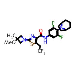 COC1(C)CN(c2nc(C(=O)Nc3cc(F)c(N4C5CCCC4CC5)c(F)c3)c(CC(F)(F)F)s2)C1